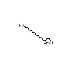 CCCCCCCCCCCCC1CCCNC1=O